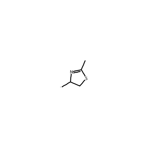 [CH2]C1CSC(C)=N1